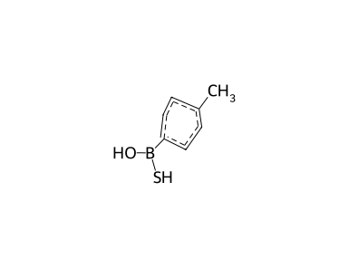 Cc1ccc(B(O)S)cc1